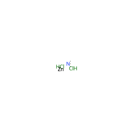 Cl.Cl.[N].[Zn]